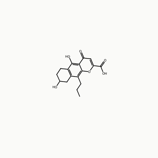 CCCc1c2c(c(O)c3c(=O)cc(C(=O)O)oc13)CCC(O)C2